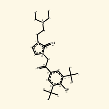 CCN(CC)CCn1ccn(CC(=O)c2cc(C(C)(C)C)c(O)c(C(C)(C)C)c2)c1=N